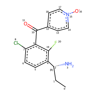 CC[C@@H](N)c1ccc(Cl)c(C(=O)c2cc[n+]([O-])cc2)c1F